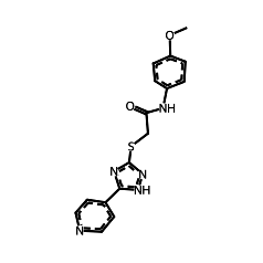 COc1ccc(NC(=O)CSc2n[nH]c(-c3ccncc3)n2)cc1